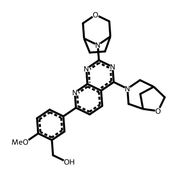 COc1ccc(-c2ccc3c(N4CC5COC(C5)C4)nc(N4C5CCC4COC5)nc3n2)cc1CO